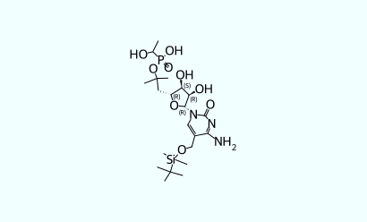 CC(O)P(=O)(O)OC(C)(C)C[C@H]1O[C@@H](n2cc(CO[Si](C)(C)C(C)(C)C)c(N)nc2=O)[C@H](O)[C@@H]1O